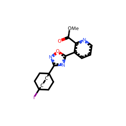 COC(=O)c1ncccc1-c1nc(C23CCC(I)(CC2)CC3)no1